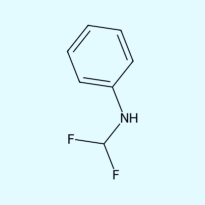 FC(F)Nc1ccccc1